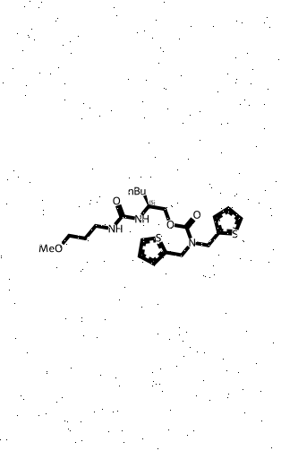 CCCC[C@@H](COC(=O)N(Cc1cccs1)Cc1cccs1)NC(=O)NCCCOC